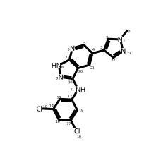 Cn1cc(-c2cnc3[nH]nc(Nc4cc(Cl)cc(Cl)c4)c3c2)cn1